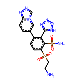 NCCS(=O)(=O)c1ccc(-c2ccc3nncn3c2)c(-c2nnn[nH]2)c1S(N)(=O)=O